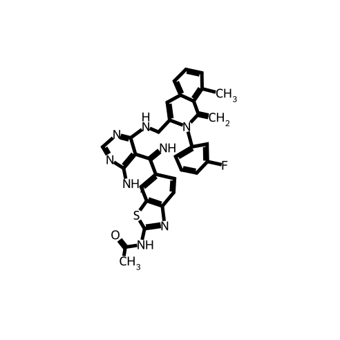 C=C1c2c(C)cccc2C=C(CNc2ncnc(N)c2C(=N)c2ccc3nc(NC(C)=O)sc3c2)N1c1cccc(F)c1